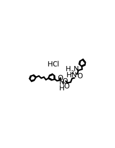 Cl.N[C@@H](Cc1ccccc1)C(=O)NCCCC(=O)ONC(=O)Cc1cccc(CCCCc2ccccc2)c1